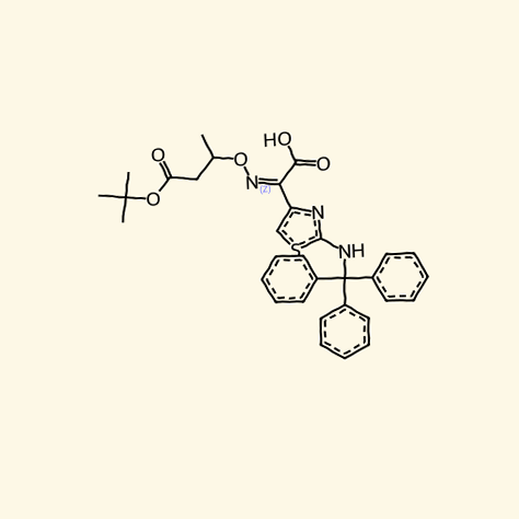 CC(CC(=O)OC(C)(C)C)O/N=C(\C(=O)O)c1csc(NC(c2ccccc2)(c2ccccc2)c2ccccc2)n1